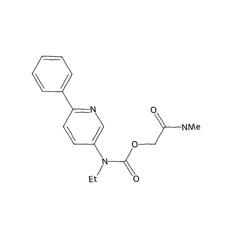 CCN(C(=O)OCC(=O)NC)c1ccc(-c2ccccc2)nc1